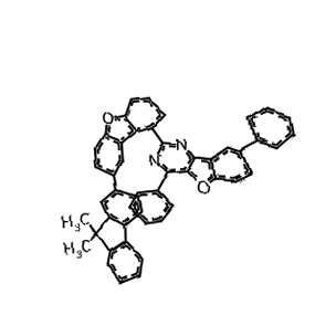 CC1(C)c2ccccc2-c2ccc(-c3ccc4oc5cccc(-c6nc(-c7ccccc7)c7oc8ccc(-c9ccccc9)cc8c7n6)c5c4c3)cc21